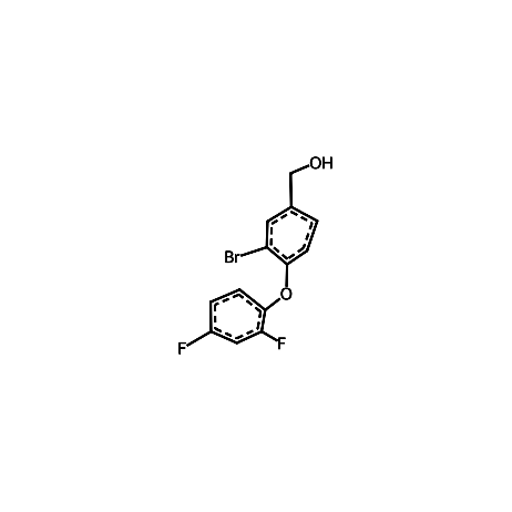 OCc1ccc(Oc2ccc(F)cc2F)c(Br)c1